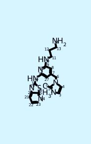 Cc1nccn1Cc1cc(NCCCN)nc(Nc2nc3cccnc3s2)c1